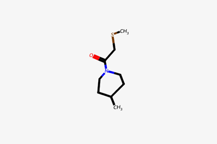 CSCC(=O)N1CCC(C)CC1